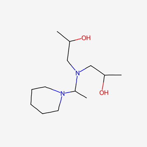 CC(O)CN(CC(C)O)C(C)N1CCCCC1